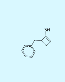 SC1=CCC1Cc1ccccc1